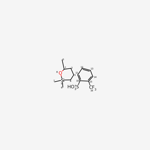 CC1CCC[Si](C)(C)O1.O=S(=O)(O)c1ccccc1C(F)(F)F